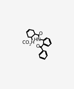 O=C(c1ccccc1)c1ccccc1NC(=O)C1CC=CCC1C(=O)O